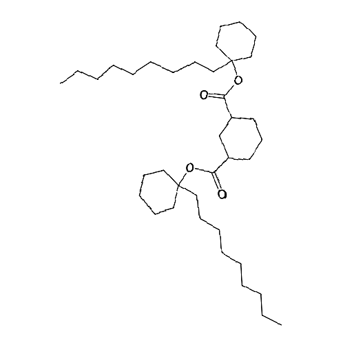 CCCCCCCCCC1(OC(=O)C2CCCC(C(=O)OC3(CCCCCCCCC)CCCCC3)C2)CCCCC1